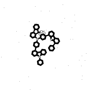 CC1(C)c2ccccc2-c2cccc(N(c3ccc(-c4cccc5c4sc4c(-c6ccccc6)cccc45)cc3)c3ccc(-c4cccc5c4c4ccccc4n5-c4ccccc4)cc3)c21